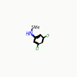 CSNc1cc(Cl)cc(Cl)c1